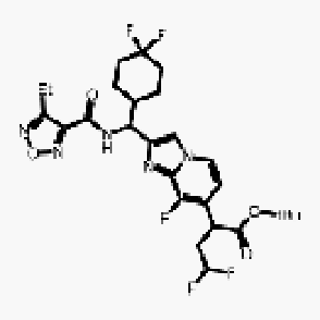 CCc1nonc1C(=O)NC(c1cn2ccc(C(CC(F)F)C(=O)OC(C)(C)C)c(F)c2n1)C1CCC(F)(F)CC1